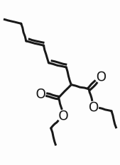 CCC=CC=CC(C(=O)OCC)C(=O)OCC